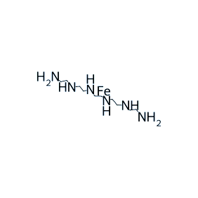 NCCNCCNCCNCCNCCN.[Fe]